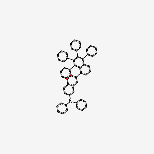 c1ccc(-c2c(-c3ccccc3)c(-c3ccccc3)c3c(-c4ccc5ccc(N(c6ccccc6)c6ccccc6)cc5c4)cccc3c2-c2ccccc2)cc1